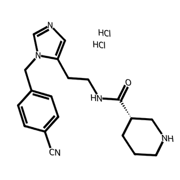 Cl.Cl.N#Cc1ccc(Cn2cncc2CCNC(=O)[C@H]2CCCNC2)cc1